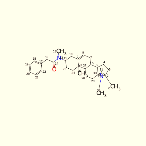 CC1C2CCC3C4CC=C5CC(N(C)C(=O)Cc6ccccc6)CCC5(C)C4CCC32CN1C